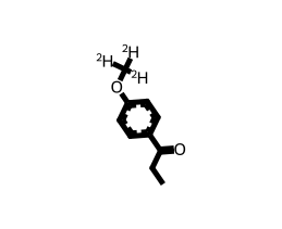 [2H]C([2H])([2H])Oc1ccc(C(=O)CC)cc1